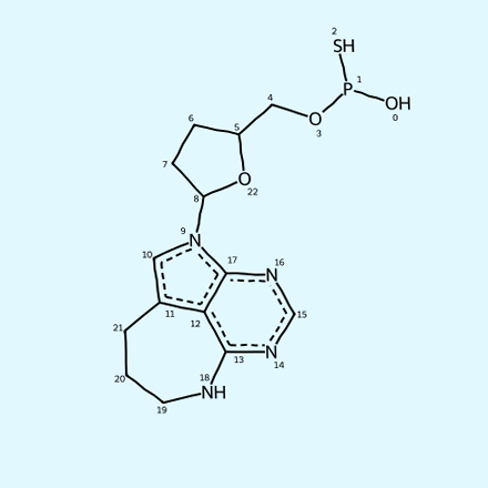 OP(S)OCC1CCC(n2cc3c4c(ncnc42)NCCC3)O1